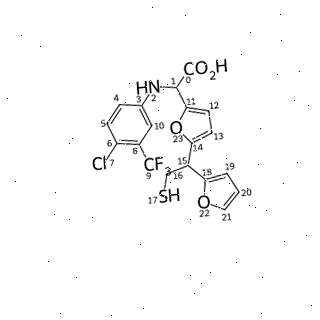 O=C(O)C(Nc1ccc(Cl)c(C(F)(F)F)c1)c1ccc(C(CS)c2ccco2)o1